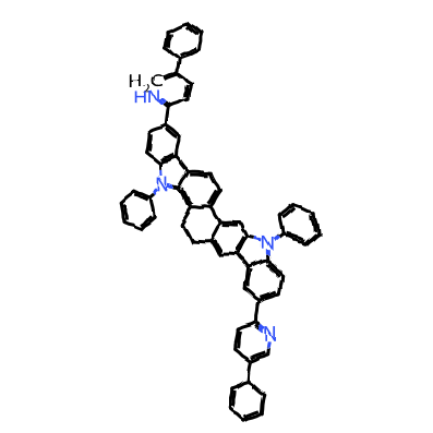 C=C(/C=C\C(=N)c1ccc2c(c1)c1ccc3c(c1n2-c1ccccc1)CCc1cc2c4cc(-c5ccc(C6C=CC=CC6)cn5)ccc4n(-c4ccccc4)c2cc1-3)c1ccccc1